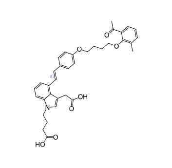 CC(=O)c1cccc(C)c1OCCCCOc1ccc(/C=C/c2cccc3c2c(CC(=O)O)cn3CCCC(=O)O)cc1